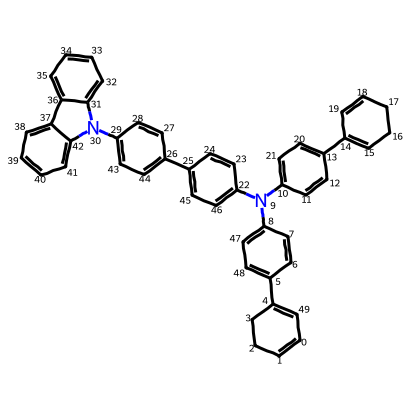 C1=CCCC(c2ccc(N(c3ccc(C4=CCCC=C4)cc3)c3ccc(-c4ccc(-n5c6ccccc6c6ccccc65)cc4)cc3)cc2)=C1